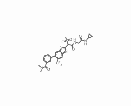 CN(C)C(=O)c1cccc(-c2cc3sc(C(C(=O)NCC(=O)NC4CC4)S(C)(=O)=O)nc3cc2C(F)(F)F)c1